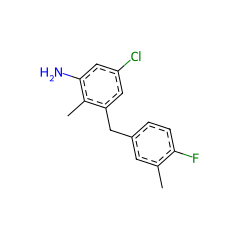 Cc1cc(Cc2cc(Cl)cc(N)c2C)ccc1F